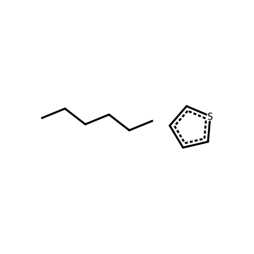 CCCCCC.c1ccsc1